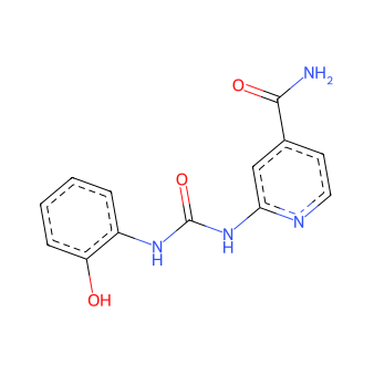 NC(=O)c1ccnc(NC(=O)Nc2ccccc2O)c1